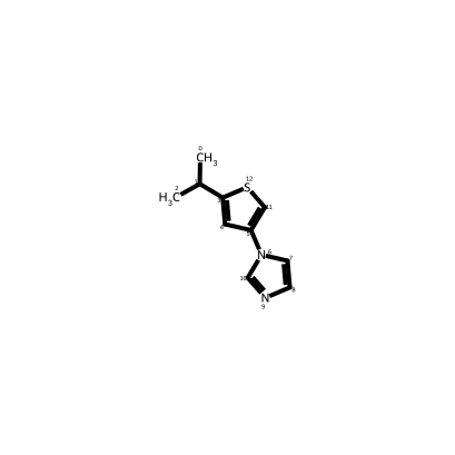 CC(C)c1cc(-n2ccnc2)cs1